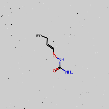 CC(C)CC=CONC(N)=O